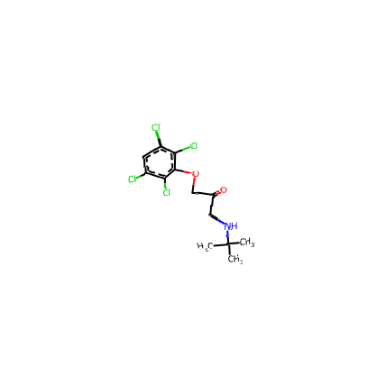 CC(C)(C)NCC(=O)COc1c(Cl)c(Cl)cc(Cl)c1Cl